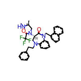 CN[C@@H](C)CN(C(=O)C(F)(F)F)[C@H]1CN(CCc2ccccc2)c2ccccc2N(Cc2cccc3ccccc23)C1=O